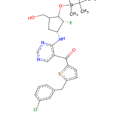 CC(C)(C)[Si](C)(C)OC1C(CO)C[C@@H](Nc2ncncc2C(=O)c2ccc(Cc3cccc(Cl)c3)s2)[C@H]1F